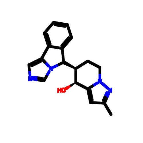 Cc1cc2n(n1)CC[C@H](C1c3ccccc3-c3cncn31)[C@H]2O